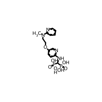 CN(CCOc1ccc(NC(P(=O)(O)O)P(=O)(O)O)nc1)c1ccccn1